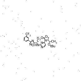 C[C@H](Nc1nccc(N2C(=O)OCC2[C@@H](C)OC(C)(C)C)n1)c1nc(-c2cccc(C(F)(F)F)c2)no1